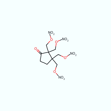 O=C1CCC(CO[N+](=O)[O-])(CO[N+](=O)[O-])C1(CO[N+](=O)[O-])CO[N+](=O)[O-]